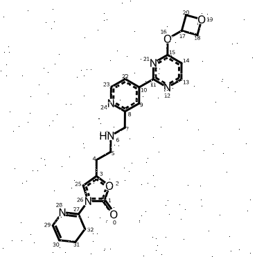 O=c1oc(CCNCc2cc(-c3nccc(OC4COC4)n3)ccn2)cn1C1=NC=CCC1